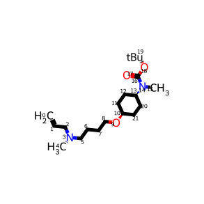 C=CCN(C)CCCCO[C@H]1CC[C@H](N(C)C(=O)OC(C)(C)C)CC1